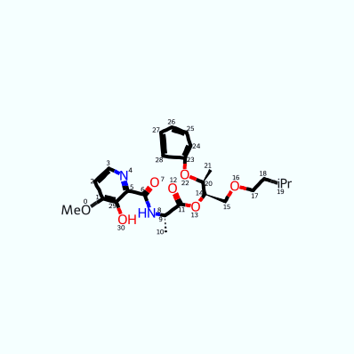 COc1ccnc(C(=O)N[C@@H](C)C(=O)O[C@H](COCCC(C)C)[C@H](C)Oc2ccccc2)c1O